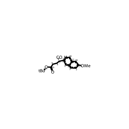 COc1ccc2cc([C@H](CCC(=O)OC(C)(C)C)C(=O)O)ccc2c1